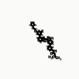 CN(C)CC(=O)Nc1cncc(-c2cnc3[nH]nc(-c4cc5c(-c6cc(F)cc(OCCN7CCCC7)c6)cncc5[nH]4)c3c2)c1